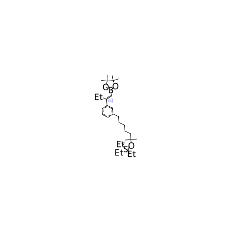 CC/C(=C\B1OC(C)(C)C(C)(C)O1)c1cccc(CCCCCC(C)(C)O[Si](CC)(CC)CC)c1